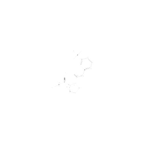 CC(C)(C)c1ccnc(NC(=O)[C@@H]2CCCN2C(=O)C(F)(F)F)c1